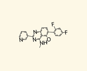 CNc1nc(-c2cccnc2)nc2ccc(-c3ccc(F)cc3F)c(OC)c12